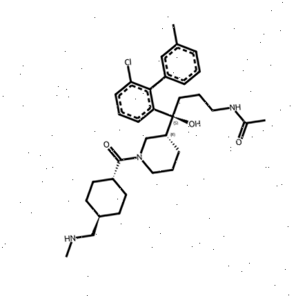 CNC[C@H]1CC[C@H](C(=O)N2CCC[C@@H]([C@@](O)(CCCNC(C)=O)c3cccc(Cl)c3-c3cccc(C)c3)C2)CC1